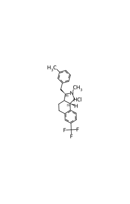 Cc1cccc(C[C@@H]2C3CCc4cc(C(F)(F)F)ccc4[C@H]3CN2C)c1.Cl